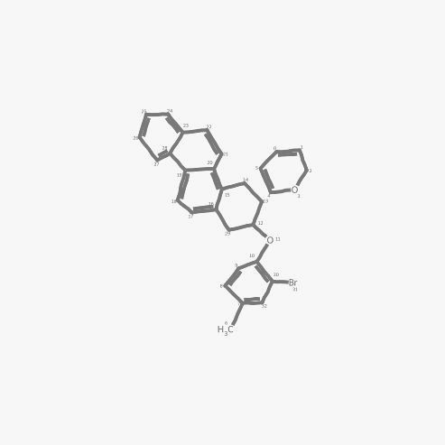 C1=CCOC=C1.Cc1ccc(OC2CCc3c(ccc4c3ccc3ccccc34)C2)c(Br)c1